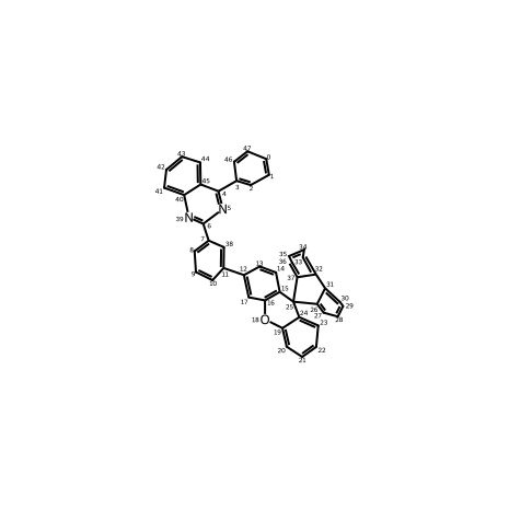 c1ccc(-c2nc(-c3cccc(-c4ccc5c(c4)Oc4ccccc4C54c5ccccc5-c5ccccc54)c3)nc3ccccc23)cc1